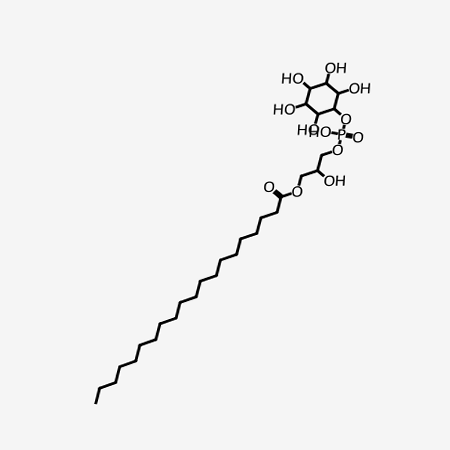 CCCCCCCCCCCCCCCCCCCC(=O)OCC(O)COP(=O)(O)OC1C(O)C(O)C(O)C(O)C1O